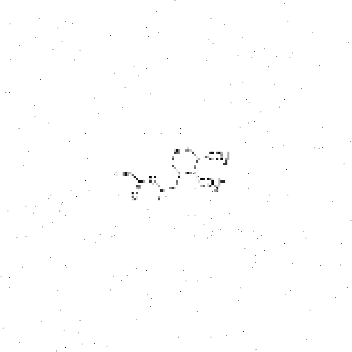 C=CC(=O)OC(C)CC1CC=CC(C(=O)O)C1C(=O)O